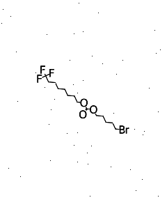 O=C(OCCCCCBr)OCCCCCCCC(F)(F)F